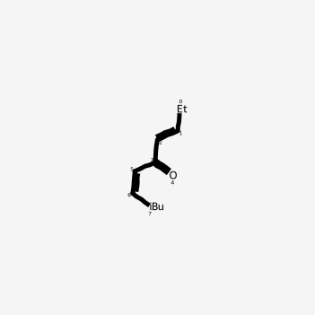 CC/C=C/C(=O)/C=C\C(C)CC